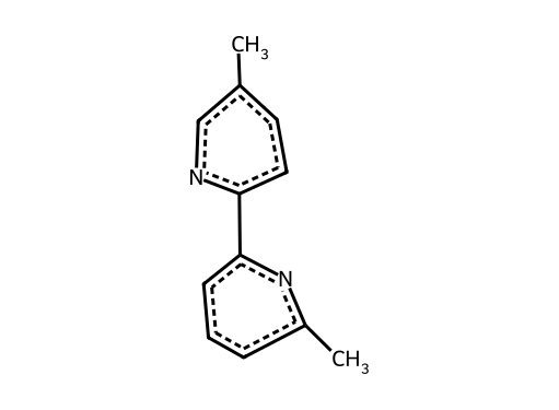 Cc1ccc(-c2cccc(C)n2)nc1